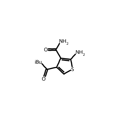 CCC(C)C(=O)c1csc(N)c1C(N)=O